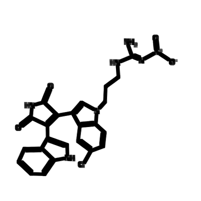 NC(=N[N+](=O)[O-])NCCCn1cc(C2=C(c3c[nH]c4ccccc34)C(=O)NC2=O)c2cc(Cl)ccc21